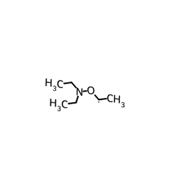 C[CH]ON(CC)CC